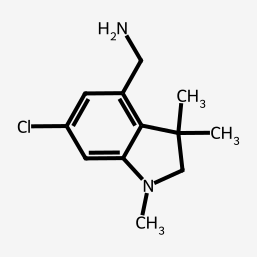 CN1CC(C)(C)c2c(CN)cc(Cl)cc21